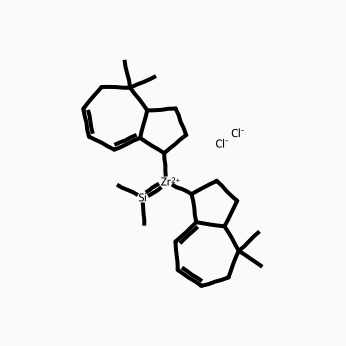 C[Si](C)=[Zr+2]([CH]1CCC2C1=CC=CCC2(C)C)[CH]1CCC2C1=CC=CCC2(C)C.[Cl-].[Cl-]